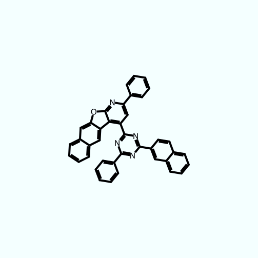 c1ccc(-c2cc(-c3nc(-c4ccccc4)nc(-c4ccc5ccccc5c4)n3)c3c(n2)oc2cc4ccccc4cc23)cc1